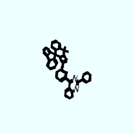 CC1(C)c2ccccc2C2(c3ccccc3-c3ccccc32)c2cc(-c3cccc(-c4nc(-c5ccccc5)nc5ccccc45)c3)ccc21